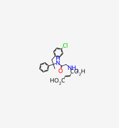 CC(Cc1ccc(Cl)cc1)(NC(=O)CN)c1ccccc1.O=C(O)C=CC(=O)O